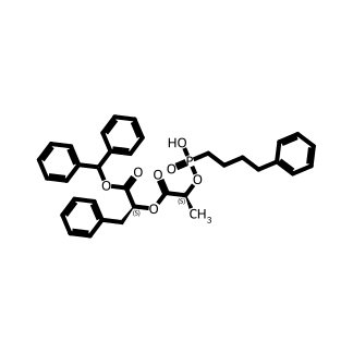 C[C@H](OP(=O)(O)CCCCc1ccccc1)C(=O)O[C@@H](Cc1ccccc1)C(=O)OC(c1ccccc1)c1ccccc1